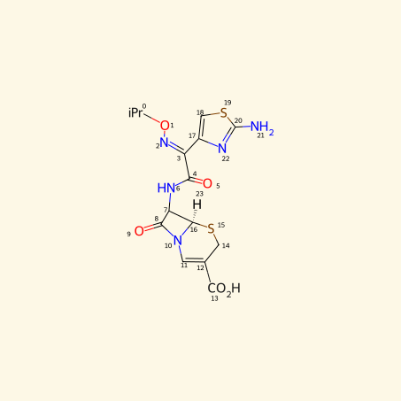 CC(C)ON=C(C(=O)NC1C(=O)N2C=C(C(=O)O)CS[C@H]12)c1csc(N)n1